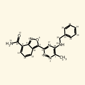 Cc1nnc(-c2onc3c(C(N)=O)cccc23)nc1NCc1ccccc1